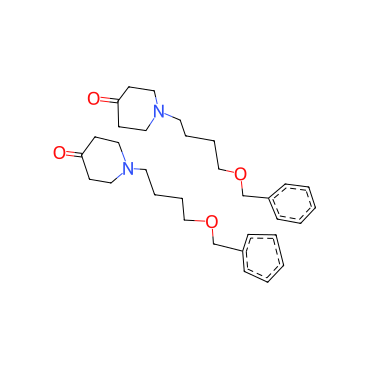 O=C1CCN(CCCCOCc2ccccc2)CC1.O=C1CCN(CCCCOCc2ccccc2)CC1